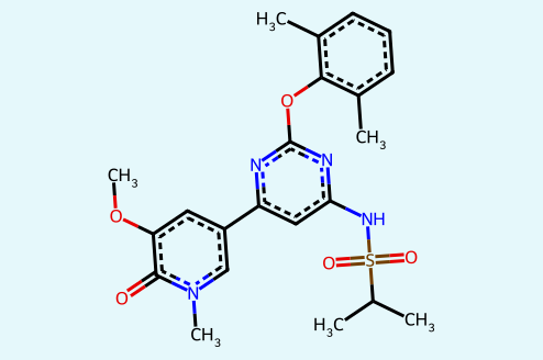 COc1cc(-c2cc(NS(=O)(=O)C(C)C)nc(Oc3c(C)cccc3C)n2)cn(C)c1=O